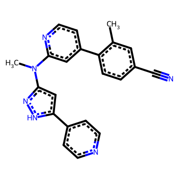 Cc1cc(C#N)ccc1-c1ccnc(N(C)c2cc(-c3ccncc3)[nH]n2)c1